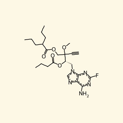 C#CC(COC(=O)C(CCC)CCC)(OC)[C@H](Cn1cnc2c(N)nc(F)nc21)OC(=O)CCC